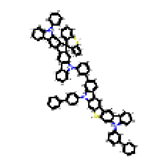 c1ccc(-c2ccc(-n3c4cc(-c5cccc(-n6c7ccccc7c7cc8c(cc76)C6(c7ccccc7Sc7ccccc76)c6cc7c(cc6-8)c6ccccc6n7-c6ccccc6)c5)ccc4c4cc5c(cc43)sc3cc4c(cc35)c3ccccc3n4-c3cccc(-c4ccccc4)c3)cc2)cc1